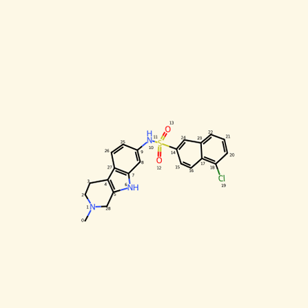 CN1CCc2c([nH]c3cc(NS(=O)(=O)c4ccc5c(Cl)cccc5c4)ccc23)C1